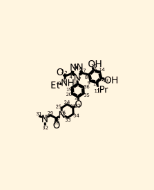 CCNC(=O)c1nnc(-c2cc(C(C)C)c(O)cc2O)n1-c1ccc(OC2CCN(C(=O)CN(C)C)CC2)cc1